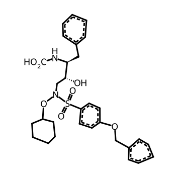 O=C(O)N[C@@H](Cc1ccccc1)[C@H](O)CN(OC1CCCCC1)S(=O)(=O)c1ccc(OCc2ccccc2)cc1